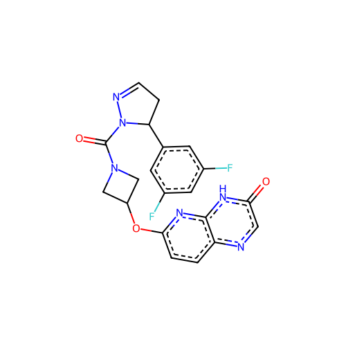 O=C(N1CC(Oc2ccc3ncc(=O)[nH]c3n2)C1)N1N=CCC1c1cc(F)cc(F)c1